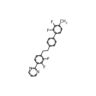 Cc1ccc(-c2ccc(CCc3ccc(-c4ncccn4)c(F)c3F)cc2)c(F)c1F